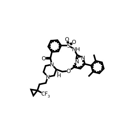 Cc1cccc(C)c1-c1cc2nc(n1)NS(=O)(=O)c1cccc(c1)C(=O)N1CCN(CCC3(C(F)(F)F)CC3)C[C@@H]1CO2